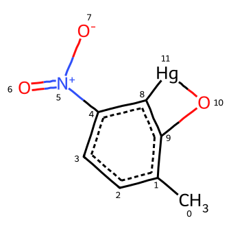 Cc1ccc([N+](=O)[O-])[c]2c1[O][Hg]2